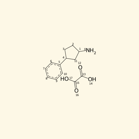 NC1CCC(c2ccccc2)C1.O=C(O)C(=O)O